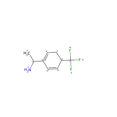 CC(N)C1=CCC(C(F)(F)F)C=C1